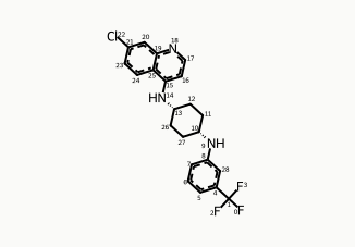 FC(F)(F)c1cccc(N[C@H]2CC[C@@H](Nc3ccnc4cc(Cl)ccc34)CC2)c1